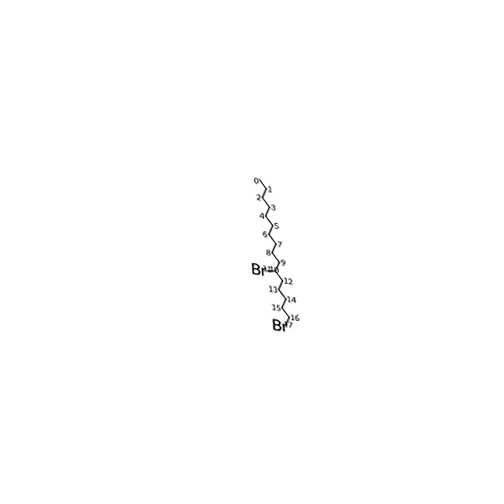 CCCCCCCCCCC(Br)CCCCCBr